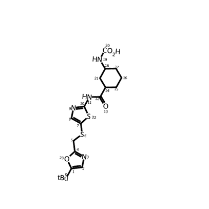 CC(C)(C)c1cnc(CSc2cnc(NC(=O)C3CCCC(NC(=O)O)C3)s2)o1